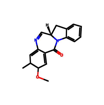 COC1C=C2C(=O)N3c4ccccc4C[C@H]3C=NC2=CC1C